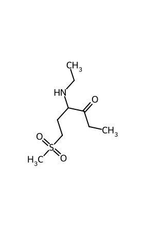 CCNC(CCS(C)(=O)=O)C(=O)CC